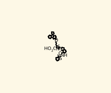 O=C(Nc1nc2ccccc2s1)c1cccc2c1CN(c1nc(C(=O)O)c(CCCOc3ccc(C4(c5ccccc5)CCCC4)cc3)s1)CC2